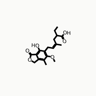 CCC(CC(C)=CCc1c(O)c2c(c(C)c1OC)COC2=O)C(=O)O